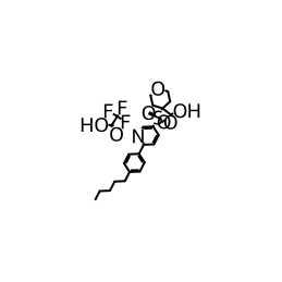 CCCCCc1ccc(-c2ccc(S(=O)(=O)C3(C(=O)O)CCOCC3)cn2)cc1.O=C(O)C(F)(F)F